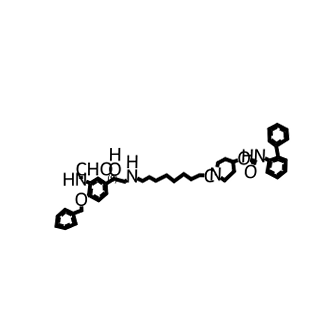 O=CNc1cc([C@H](O)CNCCCCCCCCCN2CCC(OC(=O)Nc3ccccc3-c3ccccc3)CC2)ccc1OCc1ccccc1